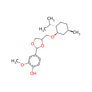 COc1cc(C2OCC(CO[C@@H]3C[C@H](C)CC[C@H]3C(C)C)O2)ccc1O